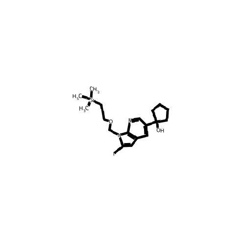 C[Si](C)(C)CCOCn1c(I)cc2cc(C3(O)CCCC3)cnc21